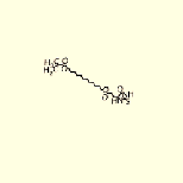 C=C(C)C(=O)OCCCCCCCCCCCCOC(=O)CCC1NC(=S)NC1=O